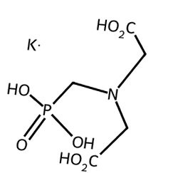 O=C(O)CN(CC(=O)O)CP(=O)(O)O.[K]